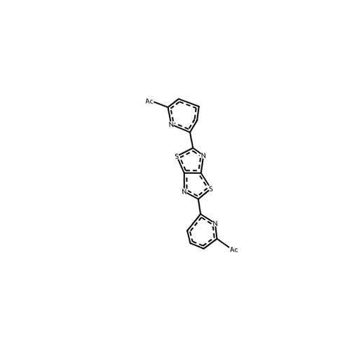 CC(=O)c1cccc(-c2nc3sc(-c4cccc(C(C)=O)n4)nc3s2)n1